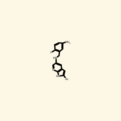 CC(=O)c1cc2cc(NCc3cc(N)ccc3F)cnc2[nH]1